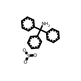 NC(c1ccccc1)(c1ccccc1)c1ccccc1.O=S(=O)=O